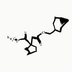 COC(=O)C1(CC(=O)OCC2CC=CCC2)CCCC1